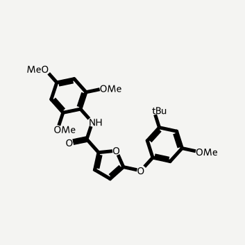 COc1cc(Oc2ccc(C(=O)Nc3c(OC)cc(OC)cc3OC)o2)cc(C(C)(C)C)c1